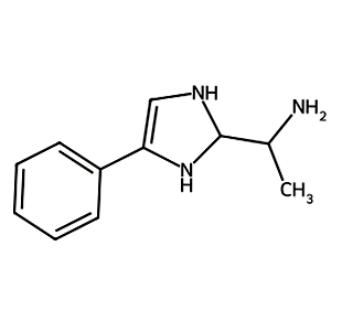 CC(N)C1NC=C(c2ccccc2)N1